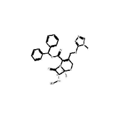 Cn1nnnc1SCC1=C(C(=O)OC(c2ccccc2)c2ccccc2)N2C(=O)[C@@H](NO)[C@@H]2SC1